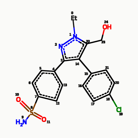 CCn1nc(-c2ccc(S(N)(=O)=O)cc2)c(-c2ccc(Cl)cc2)c1CO